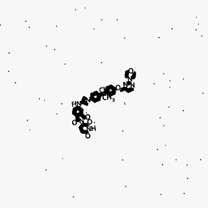 CC(C)(c1ccc(OCc2ccnc(N3CCOCC3)n2)cc1)c1ccc(N2CC(Nc3ccc4c(c3)C(=O)N(C3CCC(=O)NC3=O)C4=O)C2)cc1